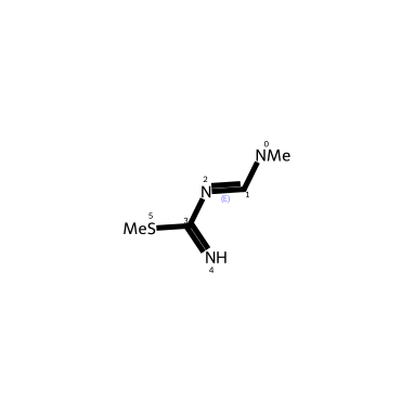 CN/C=N/C(=N)SC